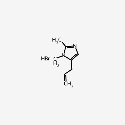 Br.C=CCc1cnc(C)n1C